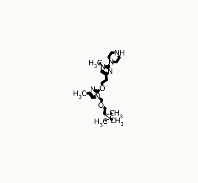 Cc1cn(COCC[Si](C)(C)C)c(OCCc2cn(C)c(N3CCNCC3)n2)n1